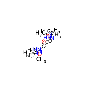 CCCC(=O)N([C@@H](C)CC)[C@@H](C)c1ncc(-c2ccc3c(c2)COc2cc4c(ccc5nc([C@H](C)N(C(=O)CCC)[C@@H](C)CC)[nH]c54)cc2-3)[nH]1